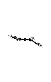 C=COC(=O)c1ccc(SC(=O)c2ccc(C#Cc3ccc(C#Cc4ccc(OCCCCCCOC(=O)C=C)c(C)c4)cc3)cc2)cc1